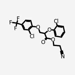 N#CCCOC(=O)C(COc1ccc(C(F)(F)F)cc1Cl)Oc1ccccc1Cl